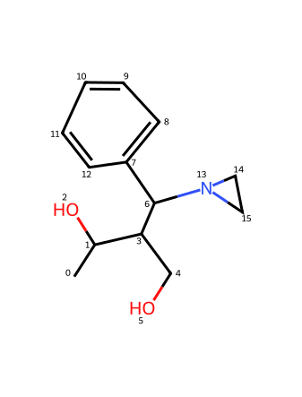 CC(O)C(CO)C(c1ccccc1)N1CC1